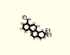 CCC1(CC)CC=c2ccc3c(c2C1)CC=c1c(C[O])cccc1=3